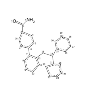 NC(=O)c1ccc(-c2ccccc2CC(c2cccnc2)c2cccnc2)cc1